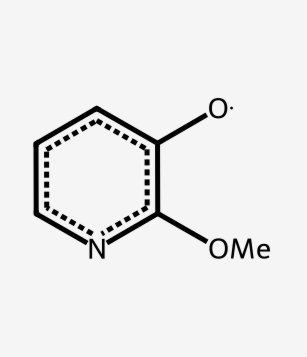 COc1ncccc1[O]